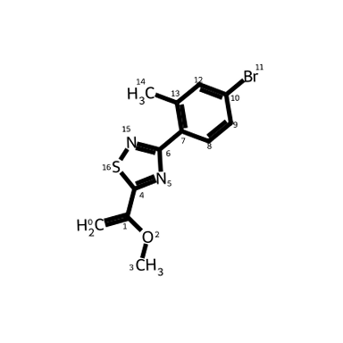 C=C(OC)c1nc(-c2ccc(Br)cc2C)ns1